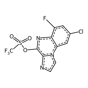 O=S(=O)(Oc1nc2c(F)cc(Cl)cc2n2ccnc12)C(F)(F)F